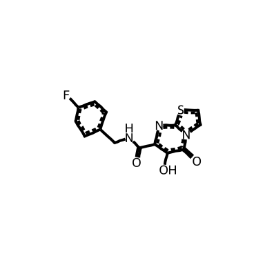 O=C(NCc1ccc(F)cc1)c1nc2sccn2c(=O)c1O